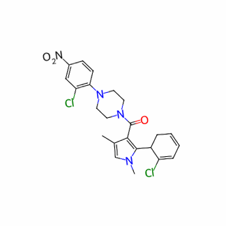 Cc1cn(C)c(C2CC=CC=C2Cl)c1C(=O)N1CCN(c2ccc([N+](=O)[O-])cc2Cl)CC1